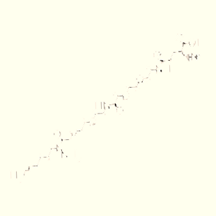 C=CCCCCN(N)C(=O)COCCOCCNC(=O)COCCOCCNC(=O)CCC(N=N)C(=O)O